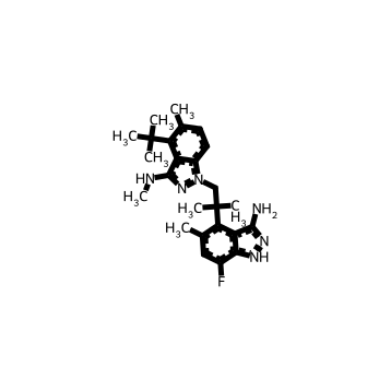 CNc1nn(CC(C)(C)c2c(C)cc(F)c3[nH]nc(N)c23)c2ccc(C)c(C(C)(C)C)c12